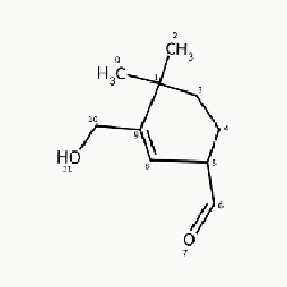 CC1(C)CCC(C=O)C=C1CO